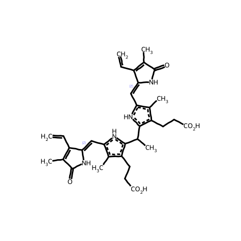 C=CC1=C(C)C(=O)N/C1=C\c1[nH]c(C(C)c2[nH]c(/C=C3\NC(=O)C(C)=C3C=C)c(C)c2CCC(=O)O)c(CCC(=O)O)c1C